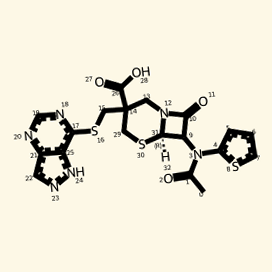 CC(=O)N(c1cccs1)C1C(=O)N2CC(CSc3ncnc4cn[nH]c34)(C(=O)O)CS[C@H]12